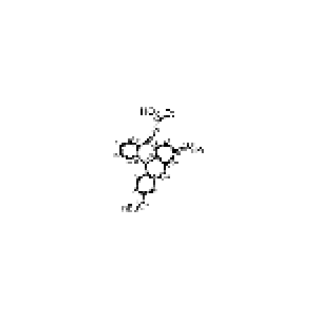 CCCCOc1ccc2c(c1)Oc1cc(OCCC)ccc1C2c1ccccc1C(=O)OCC(O)CC